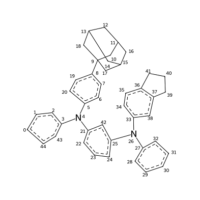 c1ccc(N(c2ccc(C34CC5CC(CC(C5)C3)C4)cc2)c2cccc(N(c3ccccc3)c3ccc4c(c3)CCC4)c2)cc1